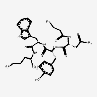 CCC(C)CCC(=O)N[C@H](CC(N)=O)C(=O)N[C@H](Cc1ccc(O)cc1)C(=O)N[C@H](Cc1c[nH]c2ccccc12)C(=O)N[C@H](CCCN)C(=O)O